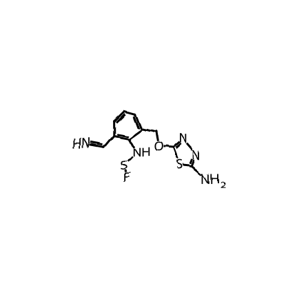 N=Cc1cccc(COc2nnc(N)s2)c1NSF